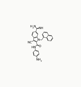 N#Cc1c(C(=O)Nc2ccc(N)cc2)n(Cc2cccc3ccccc23)c2cc(C(=N)N)ccc12